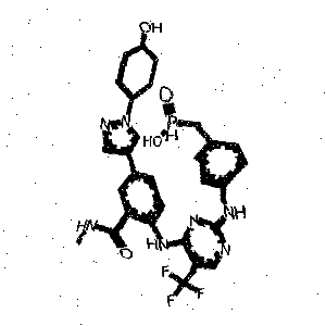 CNC(=O)c1cc(-c2cnn(C3CCC(O)CC3)c2)ccc1Nc1nc(Nc2ccc(C[PH](=O)O)cc2)ncc1C(F)(F)F